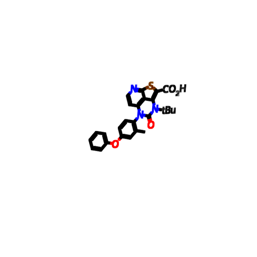 Cc1cc(Oc2ccccc2)ccc1N1C(=O)N(C(C)(C)C)c2c(C(=O)O)sc3nccc1c23